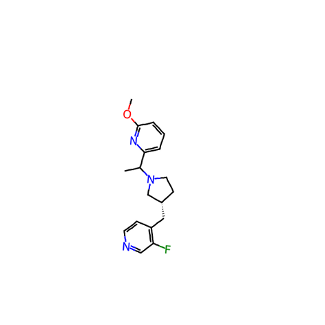 COc1cccc(C(C)N2CC[C@H](Cc3ccncc3F)C2)n1